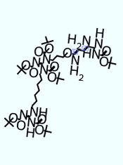 CC(C)(C)OC(=O)N=C(NCCCCCCCN(C(=O)OC(C)(C)C)C(=NC(=O)OC(C)(C)C)N(CCCO/C(N)=C/C=C(\N)C(=N)NC(=O)OC(C)(C)C)C(=O)OC(C)(C)C)NC(=O)OC(C)(C)C